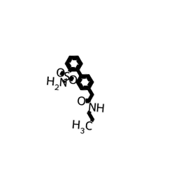 CCCNC(=O)Cc1ccc(-c2ccccc2S(N)(=O)=O)cc1